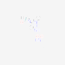 C[C@@H]1Cc2c([nH]c3ccccc23)[C@@H](c2cccc(NCCOC(=O)NCCCF)c2)N1CC1(F)COC1